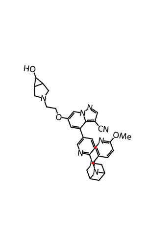 COc1ccc(CN2C3CC2CN(c2ccc(-c4cc(OCCN5CC6C(O)C6C5)cn5ncc(C#N)c45)cn2)C3)cn1